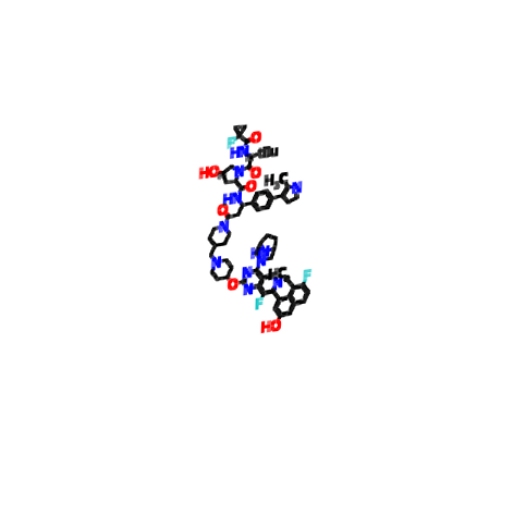 C#Cc1c(F)ccc2cc(O)cc(-c3ncc4c(N5CC6CCC(C5)N6)nc(OC5CCN(CC6CCN(C(=O)CC(NC(=O)C7C[C@@H](O)CN7C(=O)[C@@H](NC(=O)C7(F)CC7)C(C)(C)C)c7ccc(C8=C(C)N=CC8)cc7)CC6)CC5)nc4c3F)c12